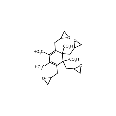 O=C(O)C1=C(CC2CO2)C(CC2CO2)(C(=O)O)C(CC2CO2)(C(=O)O)C(CC2CO2)=C1C(=O)O